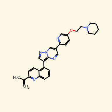 C=C(C)c1ccc2c(-c3cnn4cc(-c5ccc(OCCN6CCCCC6)cn5)cnc34)cccc2n1